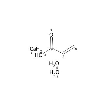 C=CC(=O)O.O.O.[CaH2]